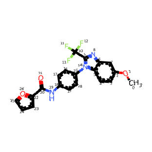 COc1ccc2c(c1)nc(C(F)(F)F)n2-c1ccc(NC(=O)c2ccco2)cc1